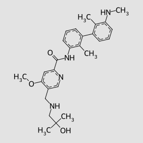 CNc1cccc(-c2cccc(NC(=O)c3cc(OC)c(CNCC(C)(C)O)cn3)c2C)c1C